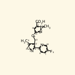 Cc1onc(-c2ccc(F)cn2)c1COc1cc(C(=O)O)n(C)n1